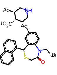 CC(=O)[C@H]1CNCC[C@@H]1C(=O)O.CC(=O)c1ccc2c(c1)C(c1cccc3ccccc13)SCC(=O)N2CC(C)(C)C